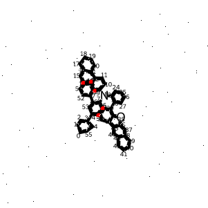 c1ccc(-c2ccc(N(c3ccc4c(ccc5ccccc54)c3)c3ccccc3-c3cccc4c3oc3cc5ccccc5cc34)c(-c3ccccc3)c2)cc1